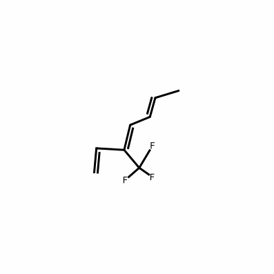 C=CC(=CC=CC)C(F)(F)F